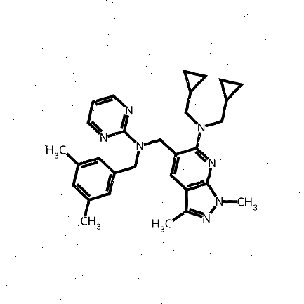 Cc1cc(C)cc(CN(Cc2cc3c(C)nn(C)c3nc2N(CC2CC2)CC2CC2)c2ncccn2)c1